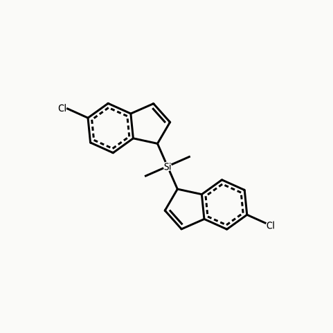 C[Si](C)(C1C=Cc2cc(Cl)ccc21)C1C=Cc2cc(Cl)ccc21